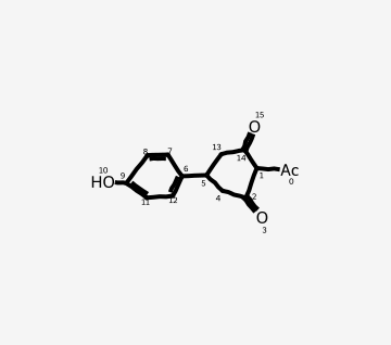 CC(=O)C1C(=O)CC(c2ccc(O)cc2)CC1=O